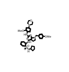 COc1ccc(CN2CCc3c(Nc4ccccc4S(=O)(=O)NC4CCCC4)nc(Nc4ccc(N5CCOCC5)cc4OC)nc32)cc1